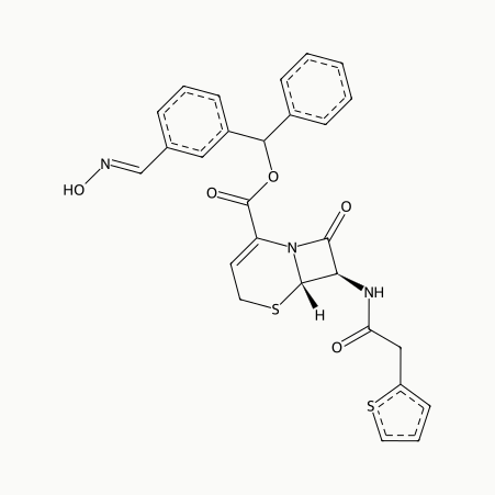 O=C(Cc1cccs1)N[C@@H]1C(=O)N2C(C(=O)OC(c3ccccc3)c3cccc(C=NO)c3)=CCS[C@@H]12